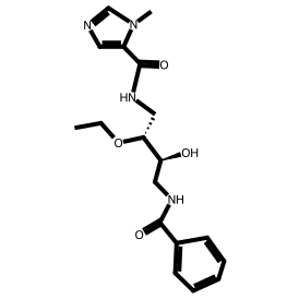 CCO[C@H](CNC(=O)c1cncn1C)[C@@H](O)CNC(=O)c1ccccc1